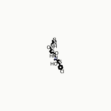 C/C(=N\NC(=O)c1ccc(C(=O)NCc2cn(C)cn2)s1)c1csc(-c2ccc(Cl)cc2)c1O